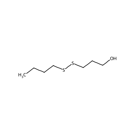 CCCCSSCCCO